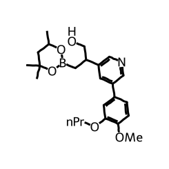 CCCOc1cc(-c2cncc(C(CO)CB3OC(C)CC(C)(C)O3)c2)ccc1OC